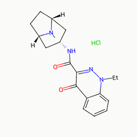 CCn1nc(C(=O)N[C@H]2C[C@H]3CC[C@@H](C2)N3C)c(=O)c2ccccc21.Cl